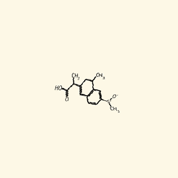 CC(C(=O)O)C1=Cc2ccc([S+](C)[O-])cc2C(C)C1